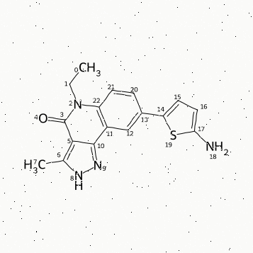 CCn1c(=O)c2c(C)[nH]nc2c2cc(-c3ccc(N)s3)ccc21